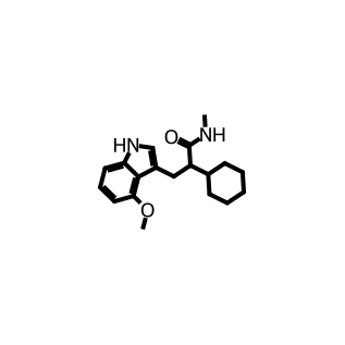 CNC(=O)C(Cc1c[nH]c2cccc(OC)c12)C1CCCCC1